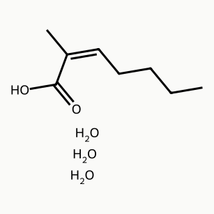 CCCCC=C(C)C(=O)O.O.O.O